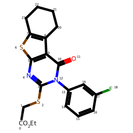 CCOC(=O)CSc1nc2sc3c(c2c(=O)n1-c1cccc(F)c1)CCCC3